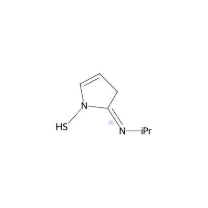 CC(C)/N=C1\CC=CN1S